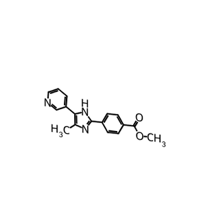 COC(=O)c1ccc(-c2nc(C)c(-c3cccnc3)[nH]2)cc1